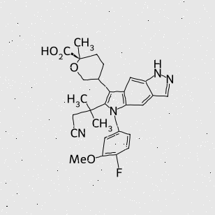 COc1cc(-n2c(C(C)(C)CC#N)c(C3CC[C@](C)(C(=O)O)OC3)c3cc4[nH]ncc4cc32)ccc1F